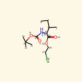 CCC(C)[C@H](NC(=O)OC(C)(C)C)C(=O)OCCBr